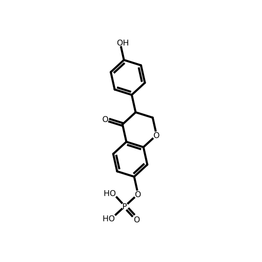 O=C1c2ccc(OP(=O)(O)O)cc2OCC1c1ccc(O)cc1